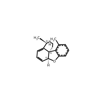 Cc1cccc2c1[C@]13CCN[C@H](C)C1=CC=C[C@@H]3O2